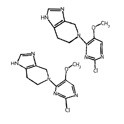 COc1cnc(Cl)nc1N1CCc2[nH]cnc2C1.COc1cnc(Cl)nc1N1CCc2[nH]cnc2C1